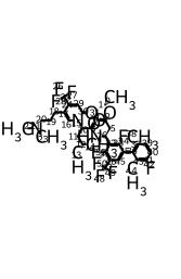 CCOC(=O)C[C@H](NC(=O)C(CC(C)C)n1cc(CCCN(C)C)c(C(F)(F)F)cc1=O)c1c(F)c(-c2c(C)ccc(F)c2C)cc(C(F)(F)F)c1F